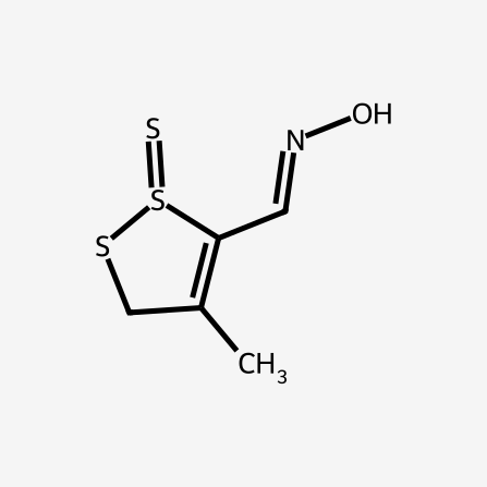 CC1=C(C=NO)S(=S)SC1